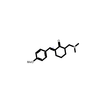 COc1ccc(/C=C2\CCCC(CN(C)C)C2=O)cc1